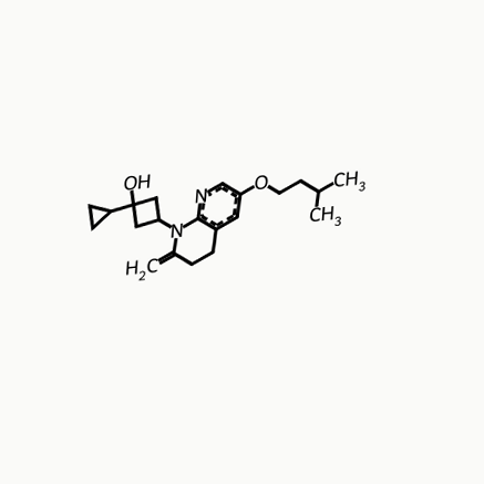 C=C1CCc2cc(OCCC(C)C)cnc2N1C1CC(O)(C2CC2)C1